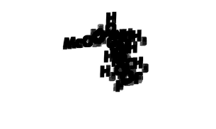 COc1ccc([C@H](O)C(=O)N[C@@H](C)C(=O)Nc2cc(C(C)(C)c3cc(F)cc(F)c3)n[nH]2)cc1